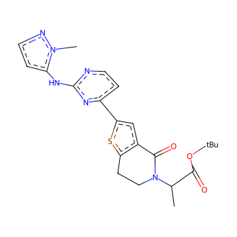 CC(C(=O)OC(C)(C)C)N1CCc2sc(-c3ccnc(Nc4ccnn4C)n3)cc2C1=O